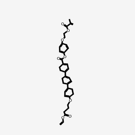 C=COC(=O)CCCOC1=CC=C(C2=CC=C(C3=CC=C(C(=O)Oc4ccc(OCCOC(=O)C(=C)C)cc4)CC3)CC2)CC1